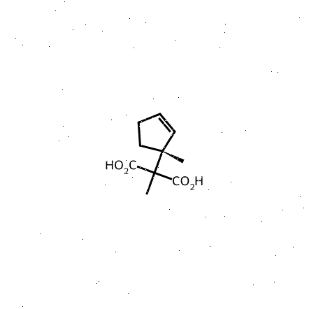 CC(C(=O)O)(C(=O)O)[C@@]1(C)C=CCC1